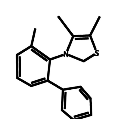 CC1=C(C)N(c2c(C)cccc2-c2ccccc2)CS1